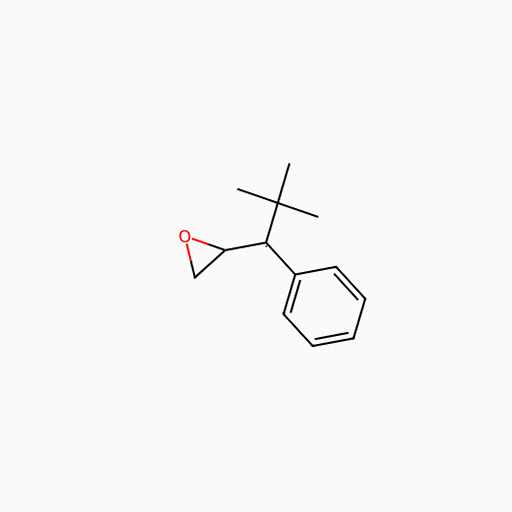 CC(C)(C)[C](c1ccccc1)C1CO1